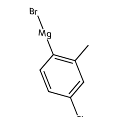 Cc1cc(Cl)cc[c]1[Mg][Br]